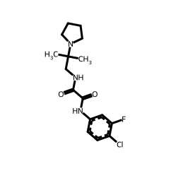 CC(C)(CNC(=O)C(=O)Nc1ccc(Cl)c(F)c1)N1CCCC1